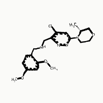 COc1ccc(CNCc2nnc(N3CCOC[C@H]3C)cc2Cl)c(OC)c1